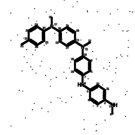 CNc1ccc(Nc2ccc(N(C)c3ccc(N(C)c4ccc(C)cc4)cc3)cc2)cc1